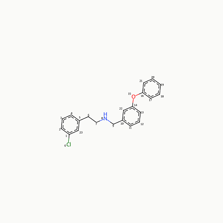 Clc1cccc(CCNCc2cccc(Oc3ccccc3)c2)c1